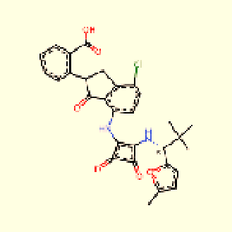 Cc1ccc([C@H](Nc2c(Nc3ccc(Cl)c4c3C(=O)C(c3ccccc3C(=O)O)C4)c(=O)c2=O)C(C)(C)C)o1